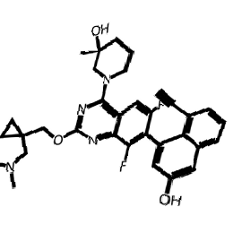 C#Cc1cccc2cc(O)cc(-c3c(F)cc4c(N5CCC[C@@](C)(O)C5)nc(OCC5(CN(C)C)CC5)nc4c3F)c12